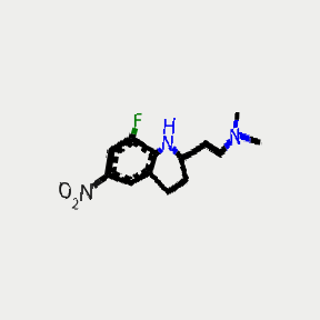 CN(C)CCC1CCc2cc([N+](=O)[O-])cc(F)c2N1